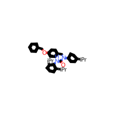 CC(C)c1ccc(N(Cc2ccc(OCc3ccccc3)cc2)C(=O)Nc2c(C(C)C)cccc2C(C)C)cc1